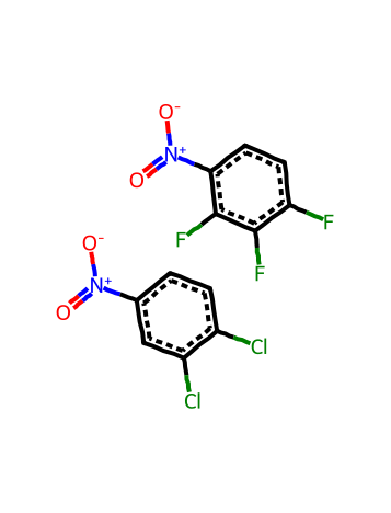 O=[N+]([O-])c1ccc(Cl)c(Cl)c1.O=[N+]([O-])c1ccc(F)c(F)c1F